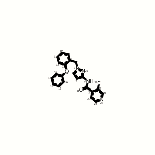 O=C(Nc1ccn(Cc2ccccc2Oc2ccccc2)n1)c1ccncc1Cl